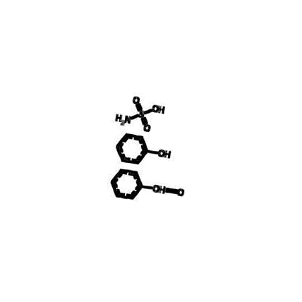 C=O.NS(=O)(=O)O.Oc1ccccc1.Oc1ccccc1